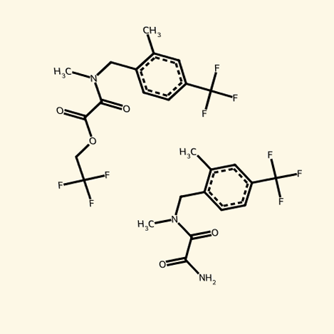 Cc1cc(C(F)(F)F)ccc1CN(C)C(=O)C(=O)OCC(F)(F)F.Cc1cc(C(F)(F)F)ccc1CN(C)C(=O)C(N)=O